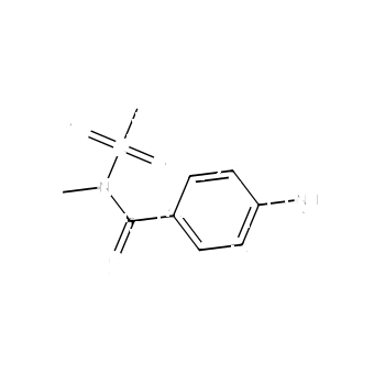 CN(C(=O)c1ccc(N)cc1)S(C)(=O)=O